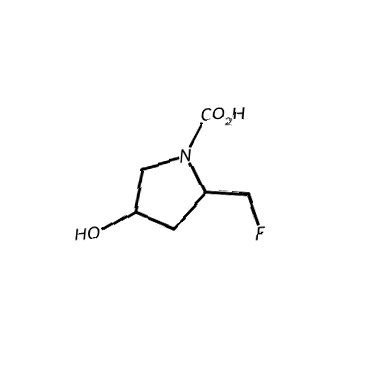 O=C(O)N1CC(O)CC1CF